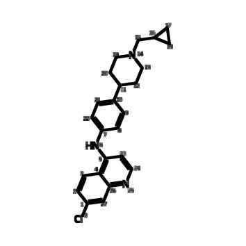 Clc1ccc2c(Nc3ccc(C4CCN(CC5CC5)CC4)cc3)ccnc2c1